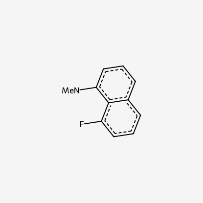 CNc1cccc2cccc(F)c12